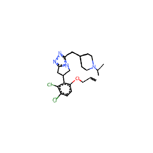 C=CCOc1ccc(Cl)c(Cl)c1C1Cc2nnc(CC3CCN(C(C)C)CC3)n2C1